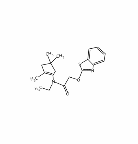 CCN(C(=O)COc1nc2ccccc2s1)C1=C(C)CC(C)(C)C1